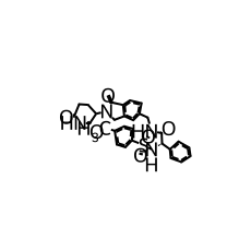 Cc1ccc(S(=O)(=O)N[C@H](C(=O)NCc2ccc3c(c2)CN(C2CCC(=O)NC2=O)C3=O)c2ccccc2)cc1